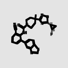 CC1(c2noc([C@@H]3C[C@@H]3F)n2)CCN(C(=O)Nc2c(C#N)cccc2-c2ccc3scnc3c2)CC1